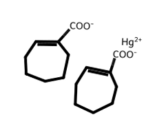 O=C([O-])C1=CCCCCC1.O=C([O-])C1=CCCCCC1.[Hg+2]